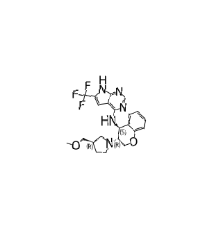 COC[C@@H]1CCN([C@H]2COc3ccccc3[C@@H]2Nc2ncnc3[nH]c(C(F)(F)F)cc23)C1